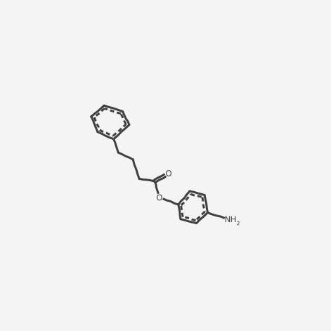 Nc1ccc(OC(=O)CCCc2ccccc2)cc1